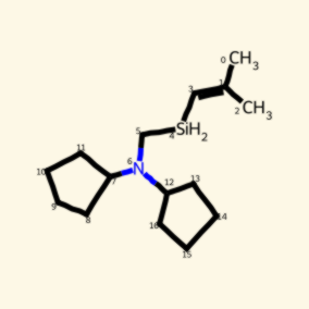 CC(C)=C[SiH2]CN(C1CCCC1)C1CCCC1